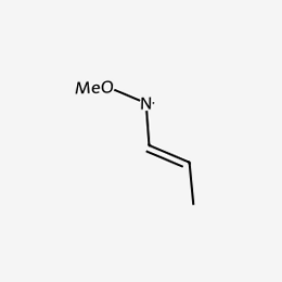 CC=C[N]OC